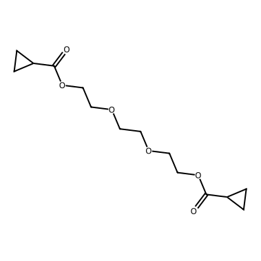 O=C(OCCOCCOCCOC(=O)C1CC1)C1CC1